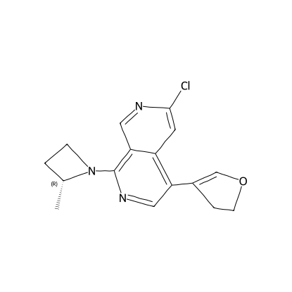 C[C@@H]1CCN1c1ncc(C2=COCC2)c2cc(Cl)ncc12